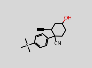 C#CC1CC(O)CCC1(C#N)c1ccc([Si](C)(C)C)cc1